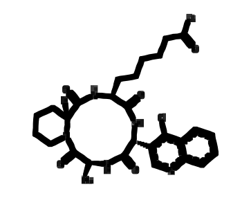 CCC(=O)CCCCC[C@@H]1NC(=O)[C@H]2CCCCN2C(=O)[C@H]([C@H](C)CC)NC(=O)[C@@H](c2cnc3ccccc3c2Cl)NC1=O